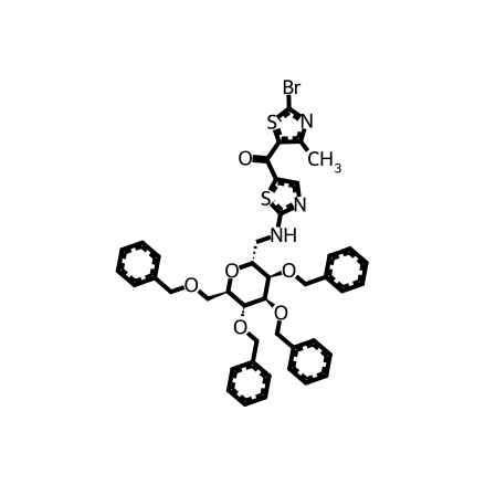 Cc1nc(Br)sc1C(=O)c1cnc(NC[C@H]2O[C@H](COCc3ccccc3)[C@@H](OCc3ccccc3)[C@H](OCc3ccccc3)[C@@H]2OCc2ccccc2)s1